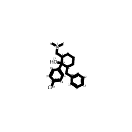 CN(C)CC1CCCC(Cc2ccccc2)C1(O)c1ccc(Cl)cc1